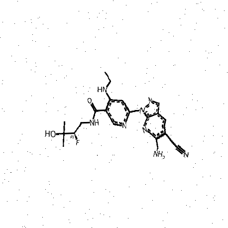 CCNc1cc(-n2ncc3cc(C#N)c(N)nc32)ncc1C(=O)NC[C@@H](F)C(C)(C)O